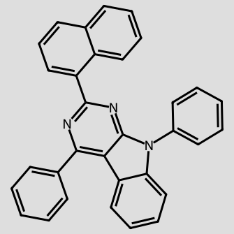 c1ccc(-c2nc(-c3cccc4ccccc34)nc3c2c2ccccc2n3-c2ccccc2)cc1